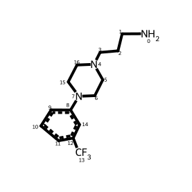 NCCCN1CCN(c2cccc(C(F)(F)F)c2)CC1